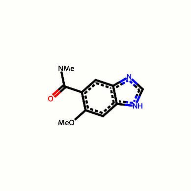 CNC(=O)c1cc2nc[nH]c2cc1OC